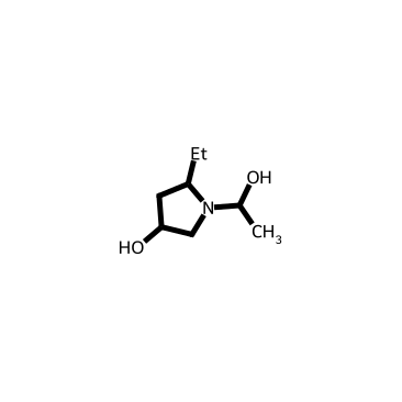 CCC1CC(O)CN1C(C)O